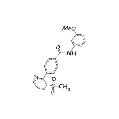 COc1cccc(NC(=O)c2ccc(-c3ncccc3S(C)(=O)=O)cc2)c1